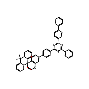 CC1(C)c2ccccc2C2(c3ccccc3Sc3cc(-c4ccc(-c5nc(-c6ccccc6)nc(-c6ccc(-c7ccccc7)cc6)n5)cc4)ccc32)c2ccccc21